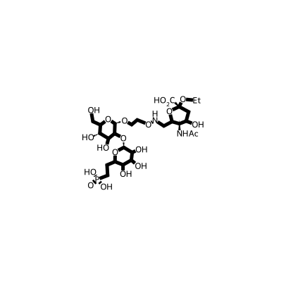 CCO[C@]1(C(=O)O)CC(O)[C@@H](NC(C)=O)C(CNOCCO[C@H]2OC(CO)[C@@H](O)C(O)C2O[C@H]2OC(CCP(=O)(O)O)C(O)C(O)C2O)O1